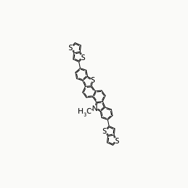 Cn1c2cc(-c3cc4sccc4s3)ccc2c2ccc3c(ccc4c5ccc(-c6cc7sccc7s6)cc5sc43)c21